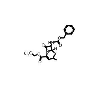 CC1C=C(C(=O)OCC(Cl)(Cl)Cl)N2C(=O)C(NC(=O)OCc3ccccc3)[C@@H]2S1